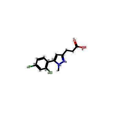 Cn1nc(CCC(=O)O)cc1-c1ccc(F)cc1Cl